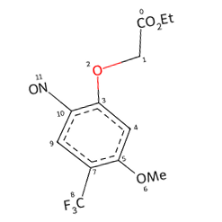 CCOC(=O)COc1cc(OC)c(C(F)(F)F)cc1N=O